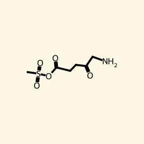 CS(=O)(=O)OC(=O)CCC(=O)CN